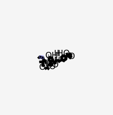 C/C=C\C1=C(C)C(=O)N([C@H](C(=O)N2C[C@H](O)C[C@H]2C(=O)NCc2ccc(C3(O)COC3)cc2)C(C)C)C1